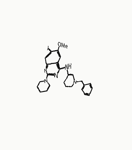 COc1cc2c(NC3CCCN(Cc4ccccc4)C3)nc(N3CCCCC3)nc2cc1I